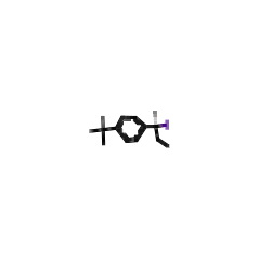 CC[C@](C)(I)c1ccc(C(C)(C)C)cc1